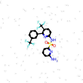 Nc1cccc(S(=O)(=O)Nc2ccc(C(F)(F)F)c(-c3cccc(C(F)(F)F)c3)n2)n1